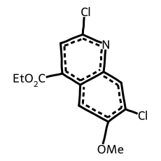 CCOC(=O)c1cc(Cl)nc2cc(Cl)c(OC)cc12